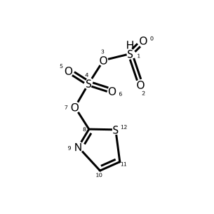 O=[SH](=O)OS(=O)(=O)Oc1nccs1